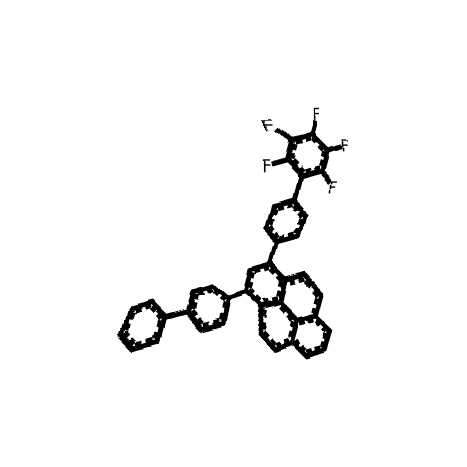 Fc1c(F)c(F)c(-c2ccc(-c3cc(-c4ccc(-c5ccccc5)cc4)c4ccc5cccc6ccc3c4c56)cc2)c(F)c1F